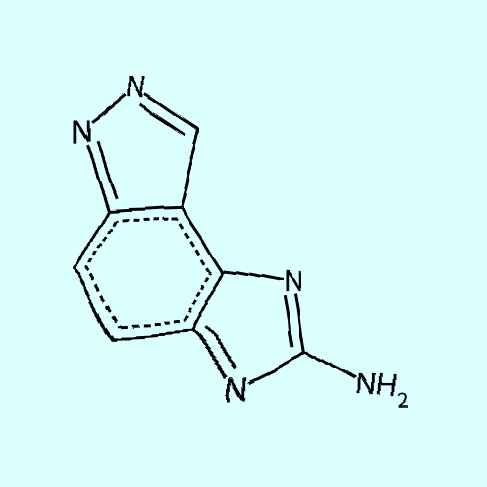 NC1=Nc2c3c(ccc2=N1)=NN=C3